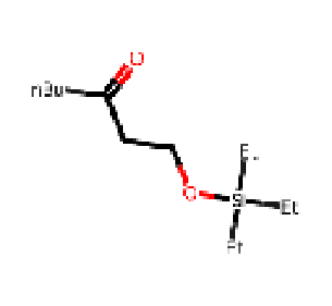 CCCCC(=O)CCO[Si](CC)(CC)CC